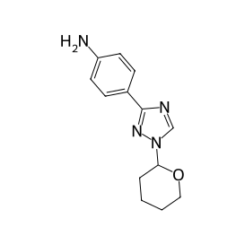 Nc1ccc(-c2ncn(C3CCCCO3)n2)cc1